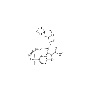 COC(=O)c1oc2ccc(C(F)(F)F)cc2c1N(CCN=[N+]=[N-])CC(F)(F)C1CC2(CCO1)OCCO2